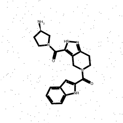 N[C@@H]1CCN(C(=O)c2[nH]nc3c2CN(C(=O)c2cc4ccccc4[nH]2)CC3)C1